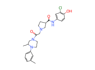 Cc1cccc(N2CCN(C(=O)CN3CC[C@@H](C(=O)Nc4ccc(O)c(Cl)c4)C3)CC2C)c1